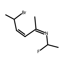 CC(/C=C\C(C)Br)=N/C(C)F